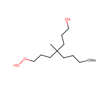 COCCCC(C)(CCCO)CCCOO